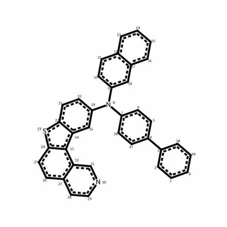 c1ccc(-c2ccc(N(c3ccc4ccccc4c3)c3ccc4sc5ccc6ccncc6c5c4c3)cc2)cc1